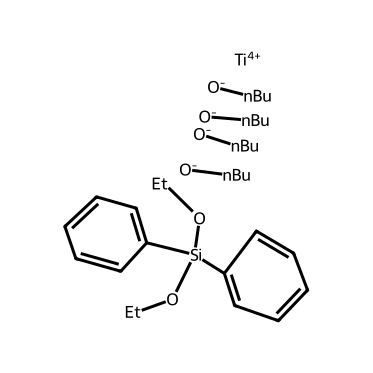 CCCC[O-].CCCC[O-].CCCC[O-].CCCC[O-].CCO[Si](OCC)(c1ccccc1)c1ccccc1.[Ti+4]